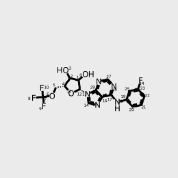 OC1C(O)[C@@H](COC(F)(F)F)O[C@H]1n1cnc2c(Nc3cccc(F)c3)ncnc21